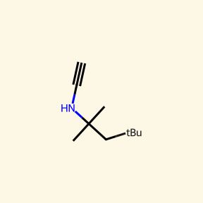 C#CNC(C)(C)CC(C)(C)C